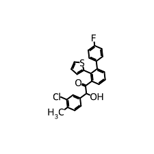 Cc1ccc(C(O)C(=O)c2cccc(-c3ccc(F)cc3)c2-c2cccs2)cc1Cl